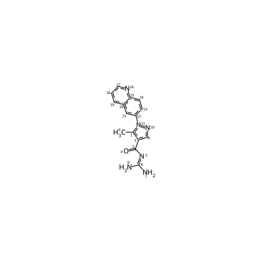 Cc1c(C(=O)N=C(N)N)cnn1-c1ccc2ncccc2c1